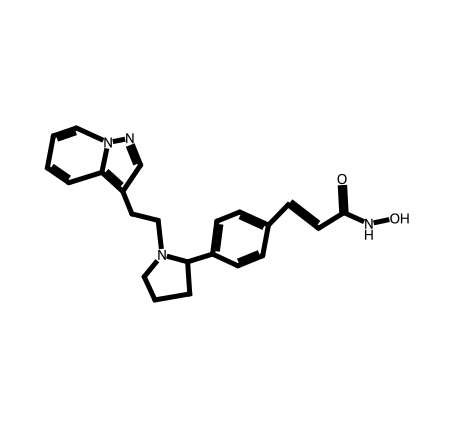 O=C(/C=C/c1ccc(C2CCCN2CCc2cnn3ccccc23)cc1)NO